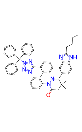 CCCCc1nc2cc(C3=NN(c4ccccc4-c4ccccc4-c4nnn(C(c5ccccc5)(c5ccccc5)c5ccccc5)n4)C(=O)CC3(C)C)ccc2[nH]1